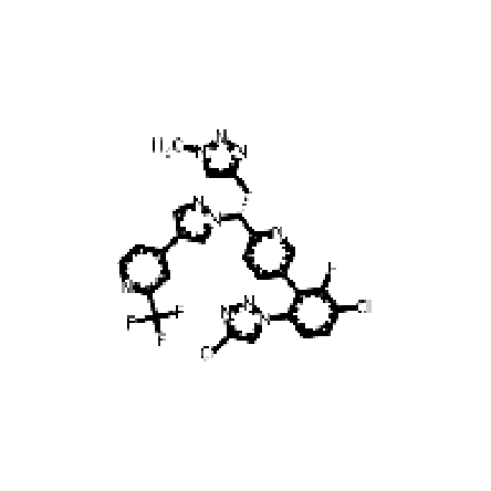 Cn1cc(C[C@H](c2ccc(-c3c(-n4cc(Cl)nn4)ccc(Cl)c3F)cn2)n2cc(-c3ccnc(C(F)(F)F)c3)cn2)nn1